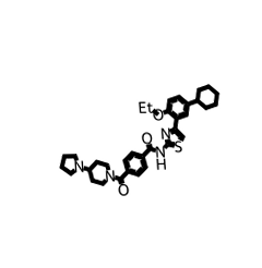 CCOc1ccc(C2CCCCC2)cc1-c1csc(NC(=O)c2ccc(C(=O)N3CCC(N4CCCC4)CC3)cc2)n1